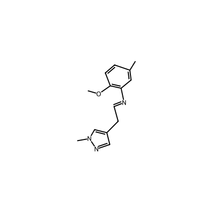 COc1ccc(C)cc1N=CCc1cnn(C)c1